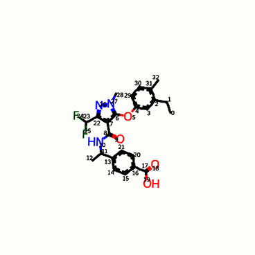 CCc1cc(Oc2c(C(=O)NC(C)c3ccc(C(=O)O)cc3)c(C(F)F)nn2C)ccc1C